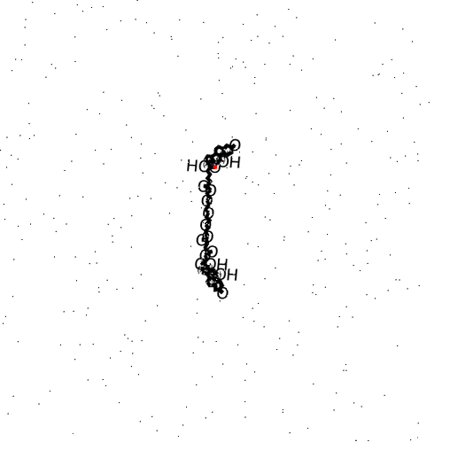 C[C@@H]1CC2C3CCC4=CC(=O)C=C[C@]4(C)[C@@]3(F)[C@@H](O)C[C@]2(C)[C@@]1(O)C(=O)COC(=O)CCC(=O)OCCOCCOCCOCCOC(=O)CCCCC(=O)[C@@]1(O)CCC2C3CCC4=CC(=O)C=C[C@]4(C)C3[C@@H](O)C[C@@]21C